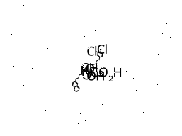 CN(CCCCCc1ccc2ccccc2c1)C(=O)C(OCCCCCc1ccc(Cl)c(Cl)c1)C(O)C(=O)O